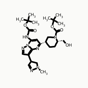 CN1CC(c2cnn3c(NC(=O)OC(C)(C)C)cc([C@H]4CC[C@@H](CO)N(C(=O)OC(C)(C)C)C4)nc23)C=N1